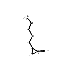 CCCCC[C]1OC1=O